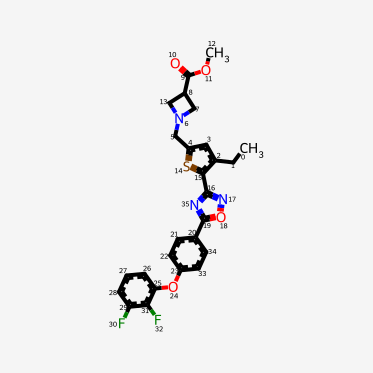 CCc1cc(CN2CC(C(=O)OC)C2)sc1-c1noc(-c2ccc(Oc3cccc(F)c3F)cc2)n1